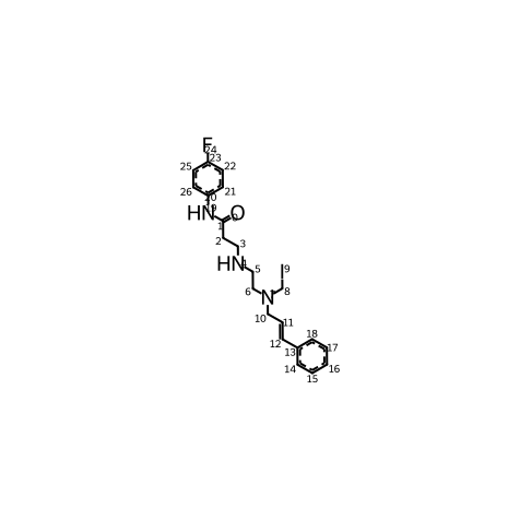 O=C(CCNCCN(CI)C/C=C/c1ccccc1)Nc1ccc(F)cc1